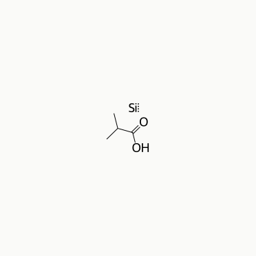 CC(C)C(=O)O.[Si]